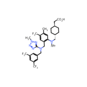 CCCN(C[C@H]1CC[C@H](CC(=O)O)CC1)c1cc(C)c(C(F)(F)F)cc1CN(Cc1cc(C(F)(F)F)cc(C(F)(F)F)c1)c1nnn(C)n1